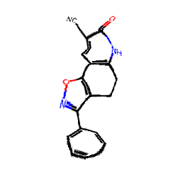 N#Cc1cc2c([nH]c1=O)CCc1c(-c3ccccc3)noc1-2